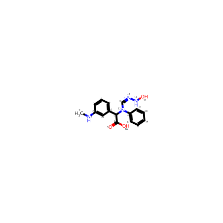 CNc1cccc(C(C(=O)O)N(/C=N\NO)c2ccccc2)c1